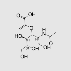 C=C(OC([C@@H](CO)NC(C)=O)[C@H](O)[C@H](O)CO)C(=O)O